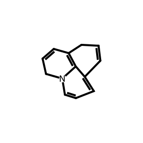 C1=CN2CC=CC3=C2C(=C1)C=CC3